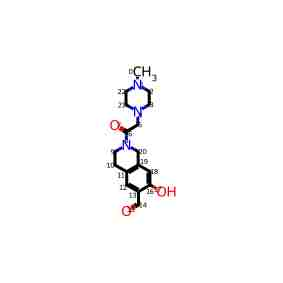 CN1CCN(CC(=O)N2CCc3cc(C=O)c(O)cc3C2)CC1